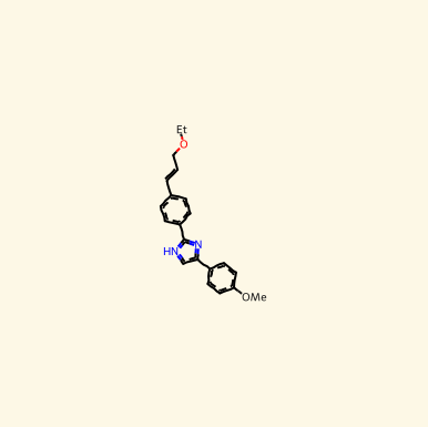 CCOC/C=C/c1ccc(-c2nc(-c3ccc(OC)cc3)c[nH]2)cc1